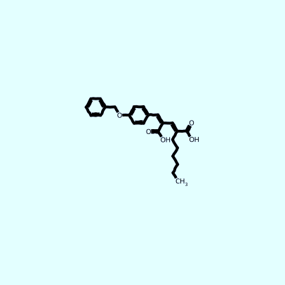 CCCCCCC(=CC(=Cc1ccc(OCc2ccccc2)cc1)C(=O)O)C(=O)O